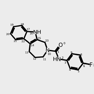 O=C(Nc1ccc(F)cc1)N1CCCc2c([nH]c3ccccc23)C1